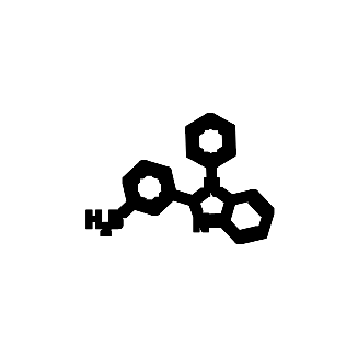 Bc1cccc(C2N=C3C=CC=CC3N2c2ccccc2)c1